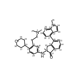 CN(C)CCc1nc(NN2Cc3c(ccnc3-c3ccnc4c3ccn4C)C2=O)ccc1C1CCOCC1